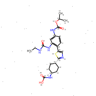 CCNC(=O)Nc1cc(NC(=O)OC(C)C)ccc1-c1cnc([C@H]2CC[C@H](NC(=O)O)CC2)s1